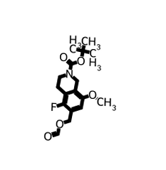 COc1cc(COC=O)c(F)c2c1CN(C(=O)OC(C)(C)C)CC2